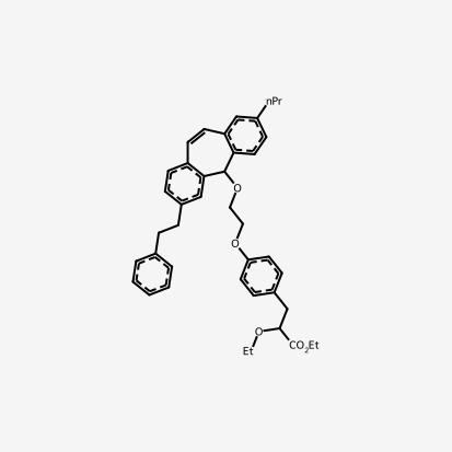 CCCc1ccc2c(c1)C=Cc1ccc(CCc3ccccc3)cc1C2OCCOc1ccc(CC(OCC)C(=O)OCC)cc1